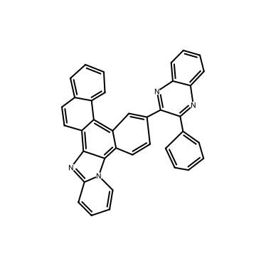 c1ccc(-c2nc3ccccc3nc2-c2ccc3c(c2)c2c4ccccc4ccc2c2nc4ccccn4c32)cc1